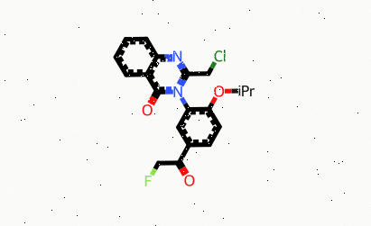 CC(C)Oc1ccc(C(=O)CF)cc1-n1c(CCl)nc2ccccc2c1=O